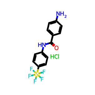 Cl.Nc1ccc(C(=O)Nc2ccc(S(F)(F)(F)(F)F)cc2)cc1